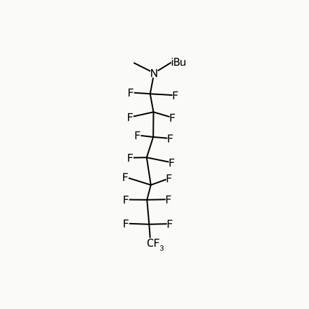 CCC(C)N(C)C(F)(F)C(F)(F)C(F)(F)C(F)(F)C(F)(F)C(F)(F)C(F)(F)C(F)(F)F